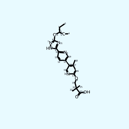 CCC(CC)Oc1n[nH]c(-c2ccc(-c3cnc(OCC(C)(C)C(=O)O)cc3C)cn2)n1